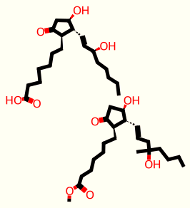 CCCCC(C)(O)C/C=C/[C@H]1[C@H](O)CC(=O)[C@@H]1CCCCCCC(=O)OC.CCCCC[C@H](O)/C=C/[C@H]1[C@H](O)CC(=O)[C@@H]1CCCCCCC(=O)O